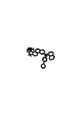 CC1(C)c2cc[nH]c2C2c3ccc4c(c3CCC21)C=C(N(C1=C2CCC=CC2CC=C1)c1ccc(C2C=CC=CC2)cc1)CC4